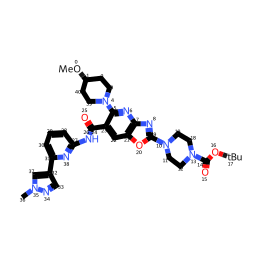 COC1CCN(c2nc3nc(N4CCN(C(=O)OC(C)(C)C)CC4)oc3cc2C(=O)Nc2cccc(-c3cnn(C)c3)n2)CC1